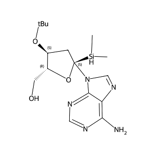 C[SiH](C)[C@]1(n2cnc3c(N)ncnc32)C[C@H](OC(C)(C)C)[C@@H](CO)O1